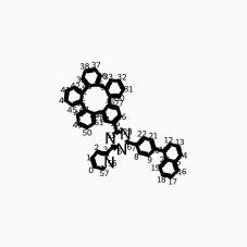 c1ccc(-c2nc(-c3ccc(-c4cccc5ccccc45)cc3)nc(-c3ccc4c5ccccc5c5ccccc5c5ccccc5c5ccccc5c4c3)n2)nc1